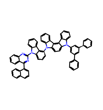 c1ccc(-c2cc(-c3ccccc3)cc(-n3c4ccccc4c4c5c6ccccc6n(-c6cccc7c6c6ccccc6n7-c6nc(-c7cccc8ccccc78)c7ccccc7n6)c5ccc43)c2)cc1